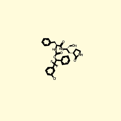 O=C(N[C@@H](Cc1ccccc1)C(=O)N[C@H](CO)C[C@@H]1CCNC1=O)OC(c1ccccc1)C(F)(F)c1cccc(Cl)c1